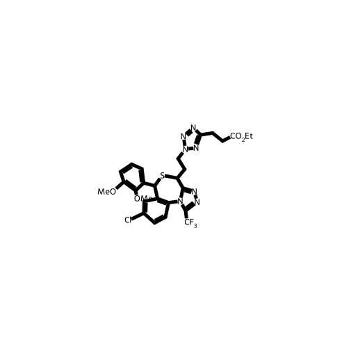 CCOC(=O)CCc1nnn(CCC2SC(c3cccc(OC)c3OC)c3cc(Cl)ccc3-n3c2nnc3C(F)(F)F)n1